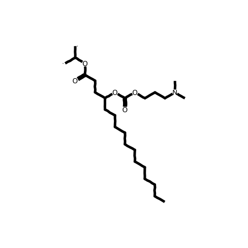 [CH2]C([CH2])OC(=O)CCC(CCCCCCCCCCCC)OC(=O)OCCCN(C)C